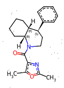 Cc1nc(C(=O)N2CC[C@H](c3ccccc3)[C@H]3CCCC[C@H]32)c(C)o1